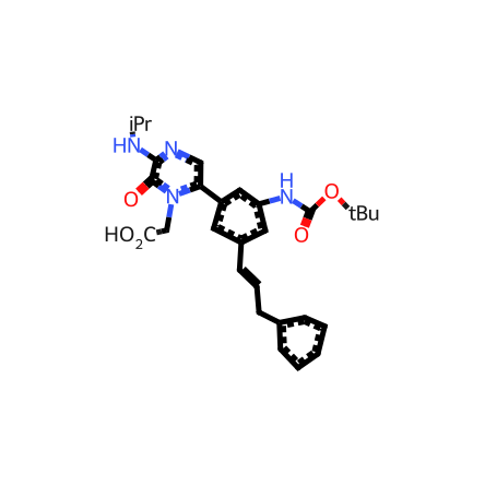 CC(C)Nc1ncc(-c2cc(/C=C/Cc3ccccc3)cc(NC(=O)OC(C)(C)C)c2)n(CC(=O)O)c1=O